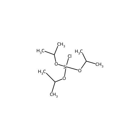 CC(C)O[Si](Cl)(OC(C)C)OC(C)C